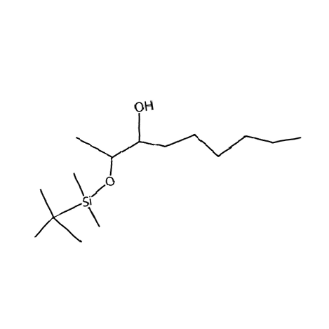 CCCCCCC(O)C(C)O[Si](C)(C)C(C)(C)C